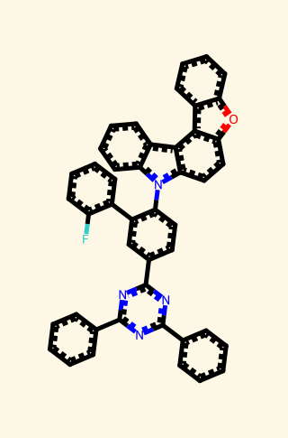 Fc1ccccc1-c1cc(-c2nc(-c3ccccc3)nc(-c3ccccc3)n2)ccc1-n1c2ccccc2c2c3c(ccc21)oc1ccccc13